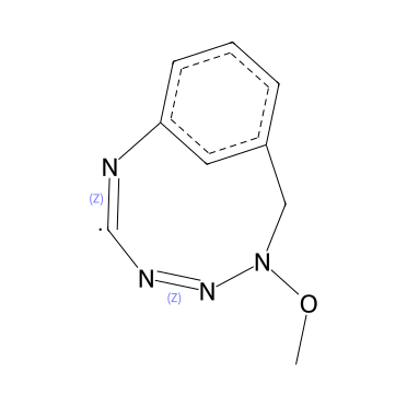 CON1Cc2cccc(c2)/N=[C]\N=N/1